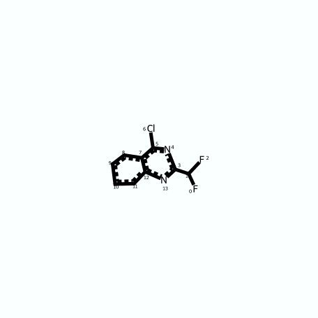 FC(F)c1nc(Cl)c2ccccc2n1